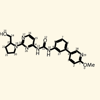 COc1ccc(-c2cccc(NC(=O)Nc3ccnc(N4CCCC4CO)n3)c2)cn1